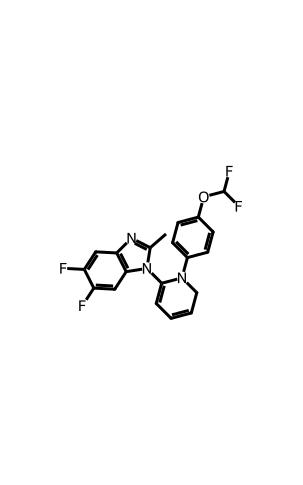 Cc1nc2cc(F)c(F)cc2n1C1=CC=CCN1c1ccc(OC(F)F)cc1